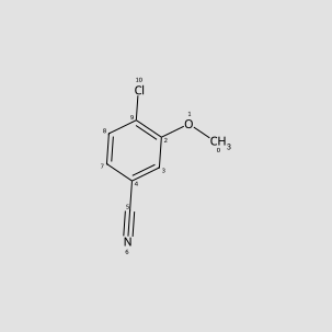 COc1cc(C#N)ccc1Cl